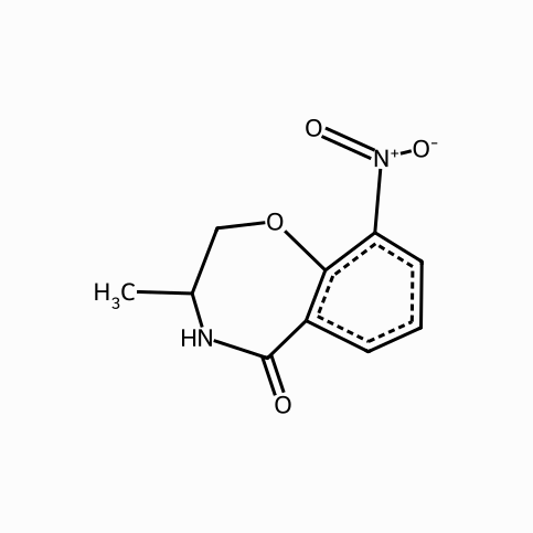 CC1COc2c(cccc2[N+](=O)[O-])C(=O)N1